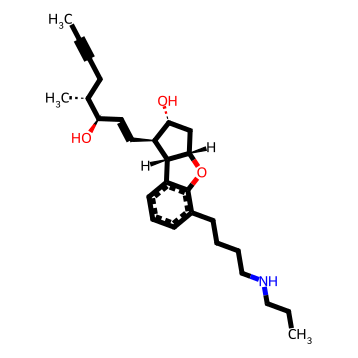 CC#CC[C@@H](C)[C@H](O)/C=C/[C@@H]1[C@H]2c3cccc(CCCCNCCC)c3O[C@H]2C[C@H]1O